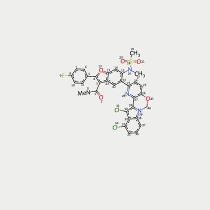 CNC(=O)c1c(-c2ccc(F)cc2)oc2cc(N(C)S(C)(=O)=O)c(-c3ccc4c(n3)-c3c(Cl)c5c(Cl)cccc5n3CO4)cc12